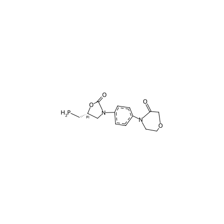 O=C1COCCN1c1ccc(N2C[C@H](CP)OC2=O)cc1